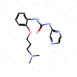 CN(C)CCCOc1ccccc1NC(=O)Nc1cnccn1